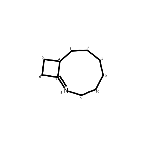 C1CCCC2CCC2=NCC1